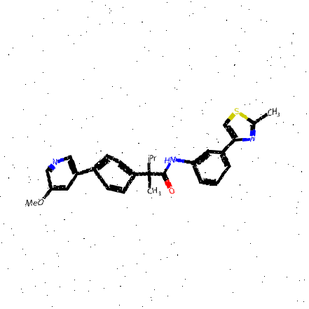 COc1cncc(-c2ccc(C(C)(C(=O)Nc3cccc(-c4csc(C)n4)c3)C(C)C)cc2)c1